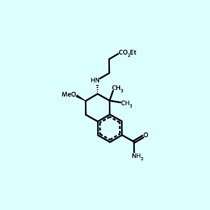 CCOC(=O)CCN[C@H]1[C@H](OC)Cc2ccc(C(N)=O)cc2C1(C)C